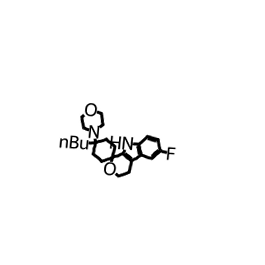 CCCCC1(N2CCOCC2)CCC2(CC1)OCCc1c2[nH]c2ccc(F)cc12